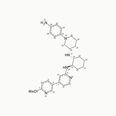 COc1ccc(-c2ccnc(N[C@@H]3CCCC[C@H]3N[C@H]3CCCN(c4ccc(N)cc4)C3)c2)cn1